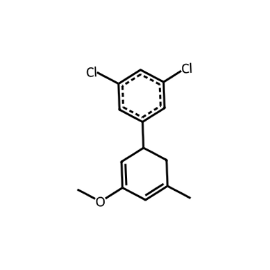 COC1=CC(c2cc(Cl)cc(Cl)c2)CC(C)=C1